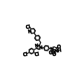 O=C1CN(c2ccc(-n3cc(-c4ccc(Cl)cc4Cl)nc3Cc3ccc(-c4ccc(Cl)nc4)cc3)cc2)S(=O)(=O)N1